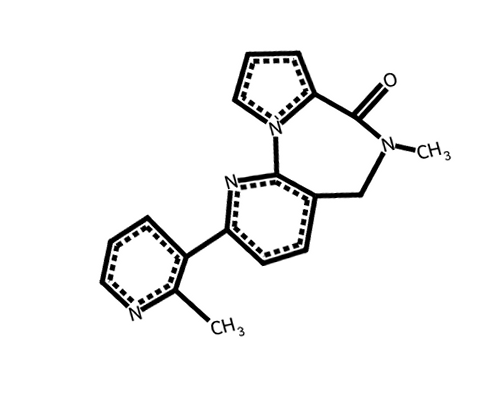 Cc1ncccc1-c1ccc2c(n1)-n1cccc1C(=O)N(C)C2